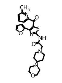 Cc1cccc(C(=O)c2sc(NC(=O)CN3CCC(N4CCOCC4)CC3)nc2-c2ccco2)n1